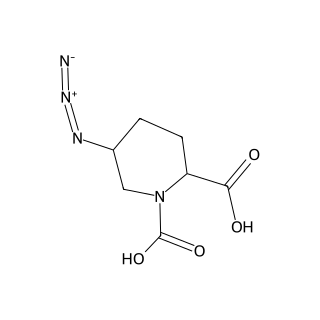 [N-]=[N+]=NC1CCC(C(=O)O)N(C(=O)O)C1